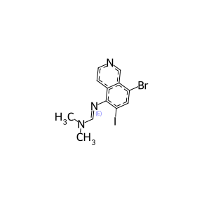 CN(C)/C=N/c1c(I)cc(Br)c2cnccc12